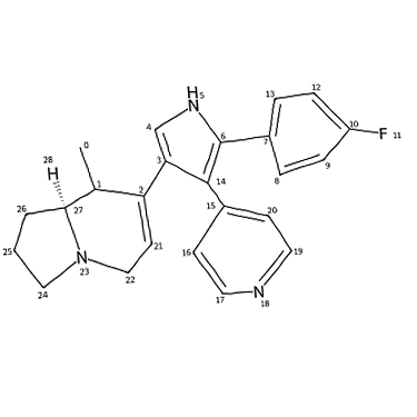 CC1C(c2c[nH]c(-c3ccc(F)cc3)c2-c2ccncc2)=CCN2CCC[C@@H]12